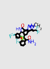 Cn1nc2c3c(c(-c4sc5c(F)cccc5c4C(N)=O)cc2c1CC(F)F)C(c1cc(F)ccc1Cl)NC3=O